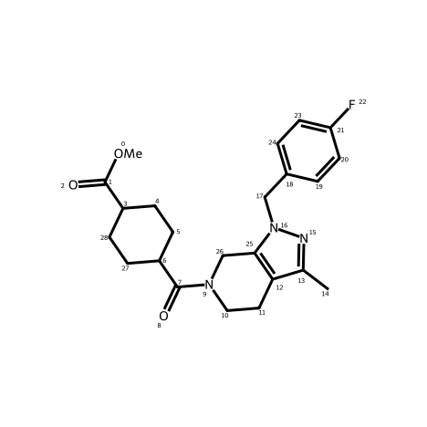 COC(=O)C1CCC(C(=O)N2CCc3c(C)nn(Cc4ccc(F)cc4)c3C2)CC1